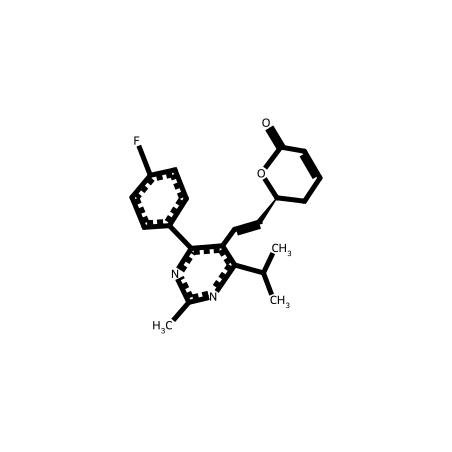 Cc1nc(-c2ccc(F)cc2)c(/C=C/[C@@H]2CC=CC(=O)O2)c(C(C)C)n1